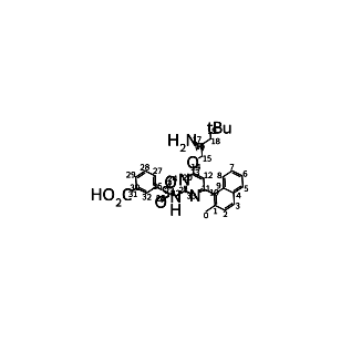 Cc1ccc2ccccc2c1-c1cc(OC[C@H](N)CC(C)(C)C)nc(NS(=O)(=O)c2cccc(C(=O)O)c2)n1